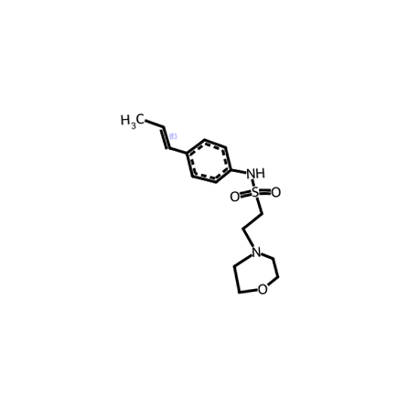 C/C=C/c1ccc(NS(=O)(=O)CCN2CCOCC2)cc1